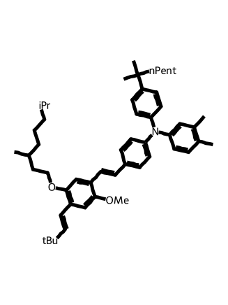 CCCCCC(C)(C)c1ccc(N(c2ccc(C=Cc3cc(OCCC(C)CCCC(C)C)c(C=CC(C)(C)C)cc3OC)cc2)c2ccc(C)c(C)c2)cc1